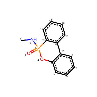 CNP1(=O)Oc2ccccc2-c2ccccc21